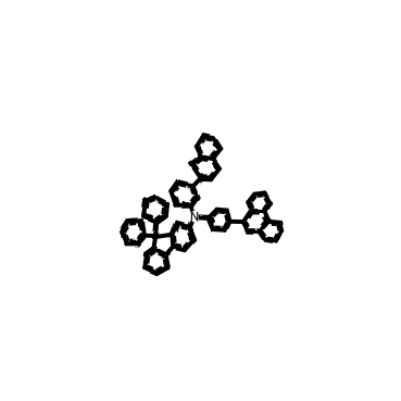 c1ccc(C2(c3ccccc3)c3ccccc3-c3ccc(N(c4ccc(-c5cc6ccccc6c6ccccc56)cc4)c4cccc(-c5ccc6ccccc6c5)c4)cc32)cc1